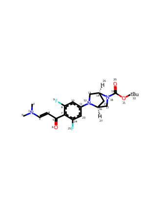 CN(C)/C=C/C(=O)c1c(F)cc(N2C[C@@H]3C[C@H]2CN3C(=O)OC(C)(C)C)cc1F